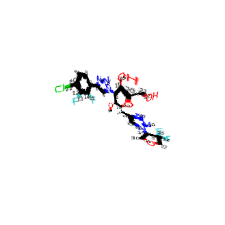 CO[C@@H]1[C@@H](n2cc(-c3ccc(Cl)c(F)c3F)nn2)[C@@H](O)[C@@H](CO)O[C@@H]1Cc1cn(C2COCC2(F)F)nn1